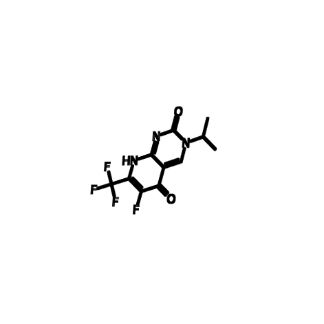 CC(C)n1cc2c(=O)c(F)c(C(F)(F)F)[nH]c2nc1=O